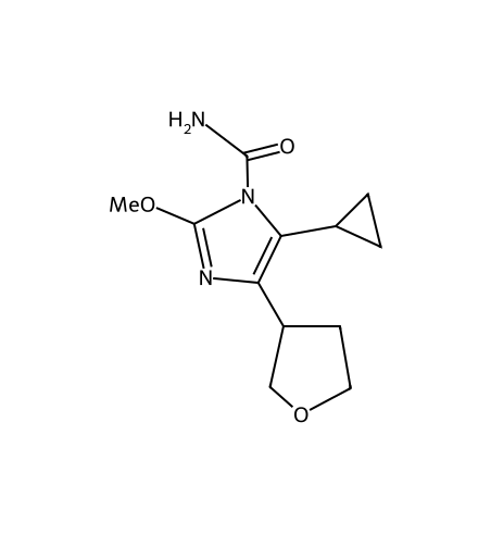 COc1nc(C2CCOC2)c(C2CC2)n1C(N)=O